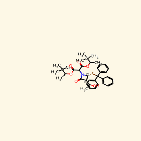 CC(O)[C@H]1C(=O)N(C(C(=O)OC(C)[Si](C)(C)C)C(=O)OC(C)[Si](C)(C)C)[C@@H]1SC(c1ccccc1)(c1ccccc1)c1ccccc1